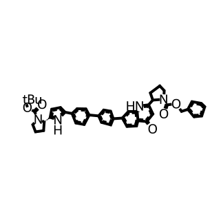 CC(C)(C)OC(=O)N1CCC[C@H]1c1ccc(-c2ccc(-c3ccc(-c4ccc5c(=O)cc(C6CCCN6C(=O)OCc6ccccc6)[nH]c5c4)cc3)cc2)[nH]1